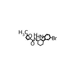 Cc1ccc(C(=O)NC2CCCc3c2[nH]c2ccc(Br)cc32)o1